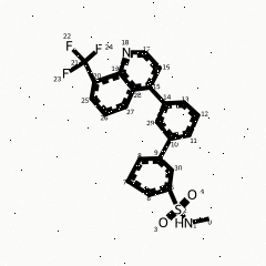 CNS(=O)(=O)c1cccc(-c2cccc(-c3ccnc4c(C(F)(F)F)cccc34)c2)c1